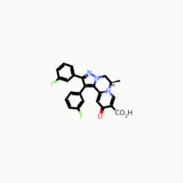 C[C@@H]1Cn2nc(-c3cccc(F)c3)c(-c3cccc(F)c3)c2-c2cc(=O)c(C(=O)O)cn21